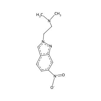 CN(C)CCn1cc2ccc([N+](=O)[O-])cc2n1